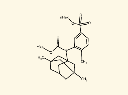 CCCCCCOS(=O)(=O)c1ccc(C)c(N(C(=O)OC(C)(C)C)C23CC4CC(C)(CC(C)(C4)C2)C3)c1